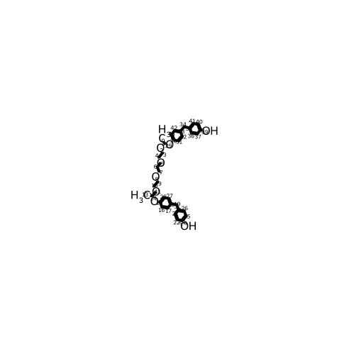 CC(OCCOCCOCCOC(C)Oc1ccc(Cc2ccc(O)cc2)cc1)Oc1ccc(Cc2ccc(O)cc2)cc1